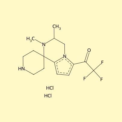 CC1Cn2c(C(=O)C(F)(F)F)ccc2C2(CCNCC2)N1C.Cl.Cl